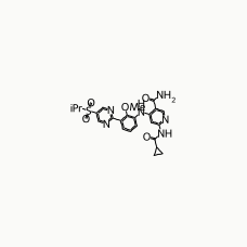 COc1c(Nc2cc(NC(=O)C3CC3)ncc2C(N)=O)cccc1-c1ncc(S(=O)(=O)C(C)C)cn1